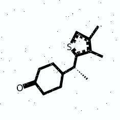 [CH2]c1csc([C@H](C)C2CCC(=O)CC2)c1C